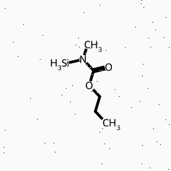 CCCOC(=O)N(C)[SiH3]